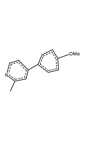 COc1ccc(-c2ccnc(C)c2)cc1